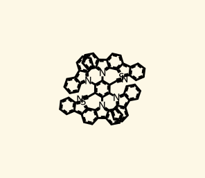 N#Cc1c(-n2c3ccccc3c3ccccc32)c(-n2c3ccccc3c3ccc4c5ccccc5sc4c32)c(C#N)c(-n2c3ccccc3c3ccccc32)c1-n1c2ccccc2c2ccc3c4ccccc4sc3c21